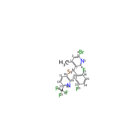 Cc1cc(Br)ncc1C(Sc1ccc(C(F)(F)F)nc1)c1cc(F)ccc1F